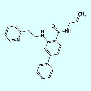 C=CCNC(=O)c1ccc(-c2ccccc2)nc1NCCc1ccccn1